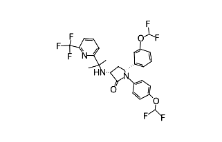 CC(C)(N[C@@H]1C[C@H](c2cccc(OC(F)F)c2)N(c2ccc(OC(F)F)cc2)C1=O)c1cccc(C(F)(F)F)n1